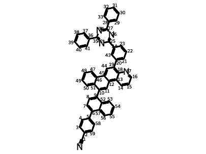 N#Cc1ccc(-c2ccc(-c3cc4c5cccnc5c(-c5cccc(-c6nc(-c7ccccc7)nc(-c7ccccc7)n6)c5)cc4c4ccccc34)c3ccccc23)cc1